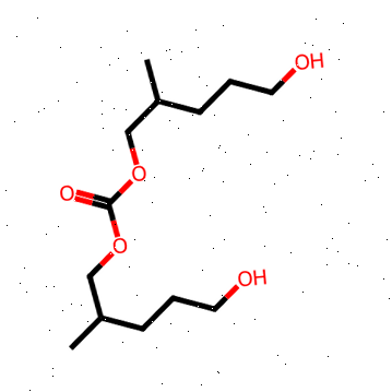 CC(CCCO)COC(=O)OCC(C)CCCO